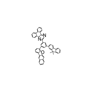 CC1(C)c2ccccc2-c2ccc(-c3cc(-c4cnc5c6ccccc6c6ccccc6c5n4)cc(-c4cccc5c4oc4cc6ccccc6cc45)c3)cc21